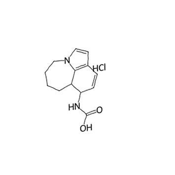 Cl.O=C(O)NC1C=Cc2ccn3c2C1CCCC3